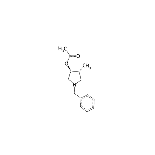 CC(=O)O[C@@H]1CN(Cc2ccccc2)C[C@H]1C